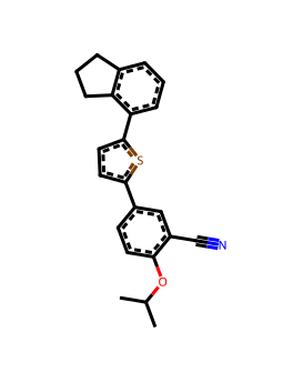 CC(C)Oc1ccc(-c2ccc(-c3cccc4c3CCC4)s2)cc1C#N